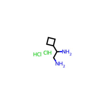 Cl.Cl.NCC(N)C1CCC1